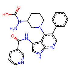 NN(C(=O)O)C1CCCN(c2c(-c3ccccc3)cnc3[nH]cc(NC(=O)c4cccnc4)c23)C1